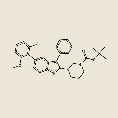 COc1cccc(F)c1-c1ccc2nn(C3CCCN(C(=O)OC(C)(C)C)C3)c(-c3ccccc3)c2c1